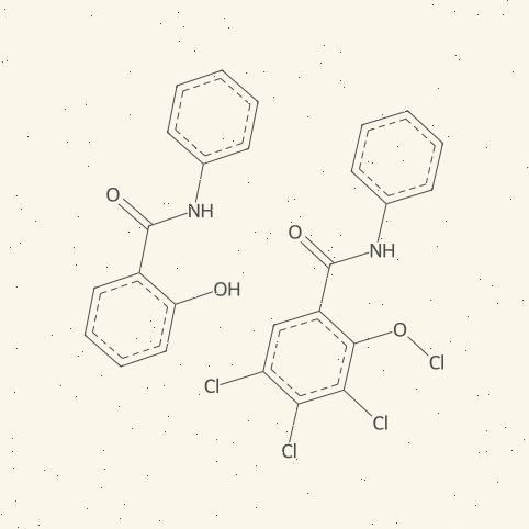 O=C(Nc1ccccc1)c1cc(Cl)c(Cl)c(Cl)c1OCl.O=C(Nc1ccccc1)c1ccccc1O